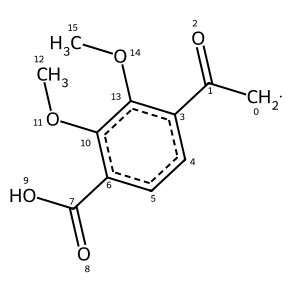 [CH2]C(=O)c1ccc(C(=O)O)c(OC)c1OC